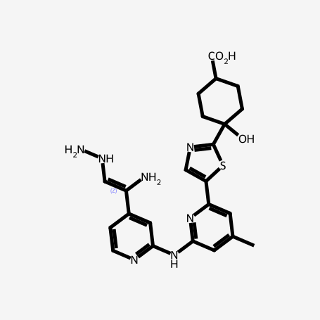 Cc1cc(Nc2cc(/C(N)=C/NN)ccn2)nc(-c2cnc(C3(O)CCC(C(=O)O)CC3)s2)c1